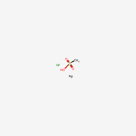 CS(=O)(=O)O.F.[Ag]